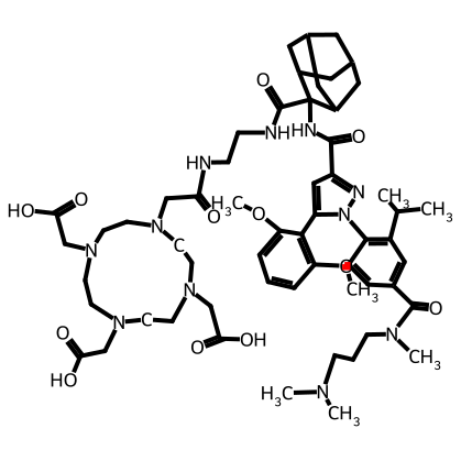 COc1cccc(OC)c1-c1cc(C(=O)NC2(C(=O)NCCNC(=O)CN3CCN(CC(=O)O)CCN(CC(=O)O)CCN(CC(=O)O)CC3)C3CC4CC(C3)CC2C4)nn1-c1ccc(C(=O)N(C)CCCN(C)C)cc1C(C)C